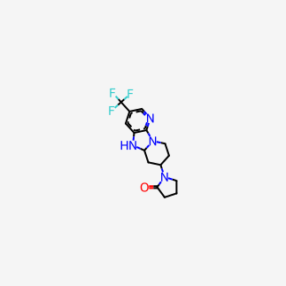 O=C1CCCN1C1CCN2c3ncc(C(F)(F)F)cc3NC2C1